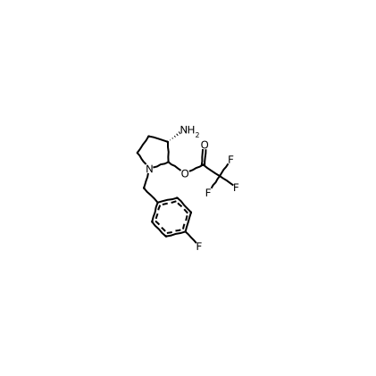 N[C@H]1CCN(Cc2ccc(F)cc2)C1OC(=O)C(F)(F)F